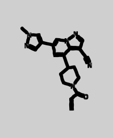 C=CC(=O)N1CCC(c2cc(-c3cnn(C)c3)cn3ncc(C#N)c23)CC1